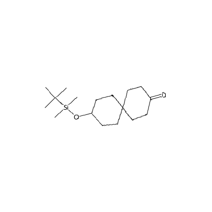 CC(C)(C)[Si](C)(C)OC1CCC2(CCC(=O)CC2)CC1